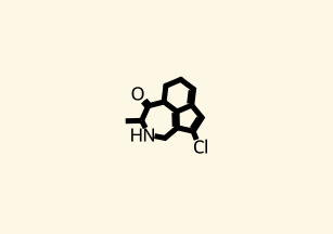 CC1NCC2=C3C(=CCCC3C1=O)C=C2Cl